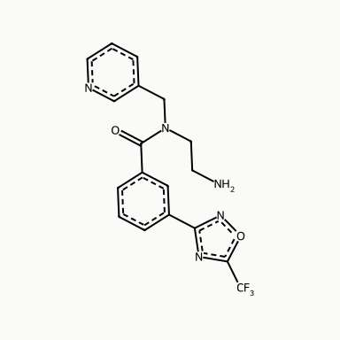 NCCN(Cc1cccnc1)C(=O)c1cccc(-c2noc(C(F)(F)F)n2)c1